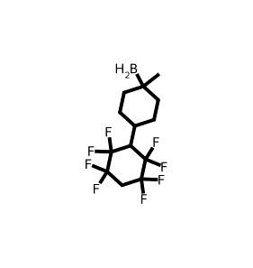 BC1(C)CCC(C2C(F)(F)C(F)(F)CC(F)(F)C2(F)F)CC1